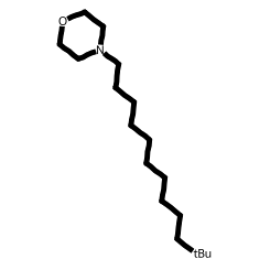 CC(C)(C)CCCCCCCCCCN1CCOCC1